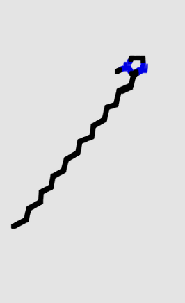 CCCCCCCCCCCCCCCC/C=C/C1=NCCN1C